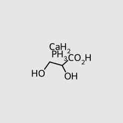 O=C(O)C(O)CO.P.[CaH2]